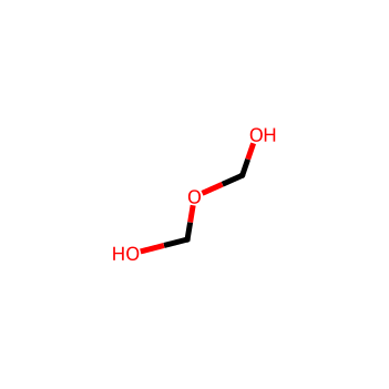 OCOCO